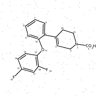 O=C(O)N1CC=C(c2cccnc2Oc2ccc(F)cc2F)CC1